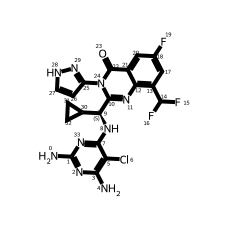 Nc1nc(N)c(Cl)c(N[C@H](c2nc3c(C(F)F)cc(F)cc3c(=O)n2-c2cc[nH]n2)C2CC2)n1